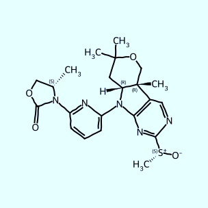 C[C@H]1COC(=O)N1c1cccc(N2c3nc([S@@+](C)[O-])ncc3[C@@]3(C)COC(C)(C)C[C@@H]23)n1